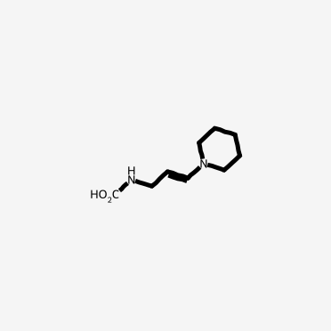 O=C(O)NCC=CN1CCCCC1